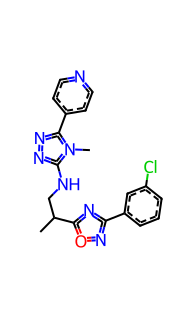 CC(CNc1nnc(-c2ccncc2)n1C)c1nc(-c2cccc(Cl)c2)no1